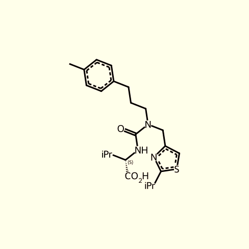 Cc1ccc(CCCN(Cc2csc(C(C)C)n2)C(=O)N[C@H](C(=O)O)C(C)C)cc1